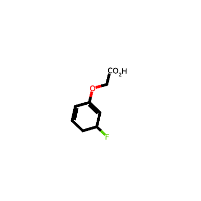 O=C(O)COC1=CC(F)CC=C1